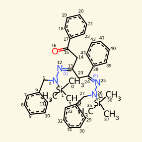 C[Si](C)(C)N(Cc1ccccc1)/N=C(/CC(=O)c1ccccc1)C/C(=N\N(Cc1ccccc1)[Si](C)(C)C)c1ccccc1